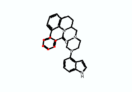 O=C(C1CCCCC1)N1c2c(cccc2-c2ccccc2)CCC1CN1CCN(c2cccc3[nH]ccc23)CC1